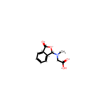 CN(CC(=O)O)C1OC(=O)c2ccccc21